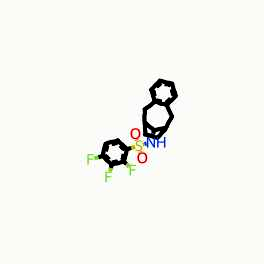 O=S(=O)(NC1C2CCC1Cc1ccccc1C2)c1ccc(F)c(F)c1F